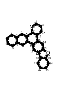 c1ccc2cc3c(cc2c1)c1cc2c(cc1c1cccnc13)oc1ccccc12